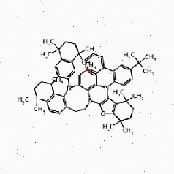 Cc1cc2c3c(c1)N1c4cc5c(cc4C4(C)CCC(C)(C)c6ccc(c1c64)CCB3c1oc3c(c1N2c1ccc(C(C)(C)C)cc1-c1ccccc1)C(C)(C)CCC3(C)C)C(C)(C)CCC5(C)C